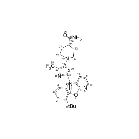 CC(C)(C)c1ccccc1Oc1ncccc1Nc1nc(C(F)(F)F)c(N2CCC(C(N)=O)CC2)s1